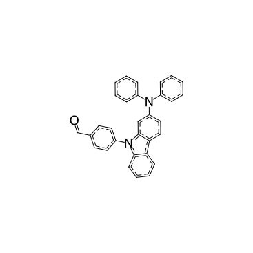 O=Cc1ccc(-n2c3ccccc3c3ccc(N(c4ccccc4)c4ccccc4)cc32)cc1